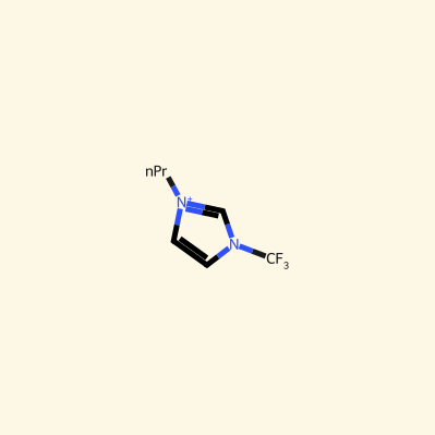 CCC[n+]1ccn(C(F)(F)F)c1